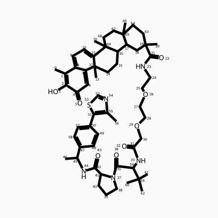 CC1=C(O)C(=O)C=C2C1=CC=C1C2(C)CCC2C3CC(C)(C(=O)NCCOCCOCC(=O)NC(C(=O)N4CCCC4C(=O)NC(C)c4ccc(-c5scnc5C)cc4)C(C)(C)C)CCC3(C)CCC12C